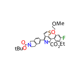 CCOC(=O)c1nc(-c2ccc3c(c2)CCN(C(=O)OC(C)(C)C)C3)c2ccsc2c1-c1ccc(F)cc1OCCOC